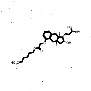 CCC[C@H](O)CC[C@@H]1[C@H]2Cc3cccc(OCC(=O)OCCCCCC(=O)O)c3C[C@H]2C[C@H]1O